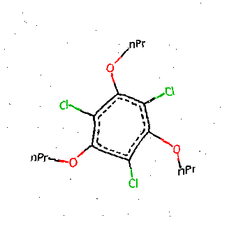 CCCOc1c(Cl)c(OCCC)c(Cl)c(OCCC)c1Cl